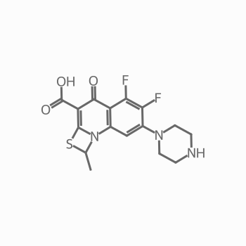 CC1Sc2c(C(=O)O)c(=O)c3c(F)c(F)c(N4CCNCC4)cc3n21